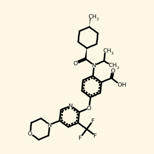 CC(C)N(c1ccc(Oc2ncc(N3CCOCC3)cc2C(F)(F)F)cc1C(=O)O)C(=O)[C@H]1CC[C@H](C)CC1